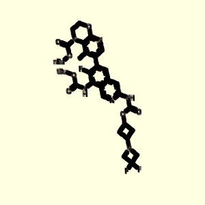 CCCCOC(=O)N1CCOc2ncc(-c3cc4cc(NC(=O)OC5CC(N6CC(F)(F)C6)C5)ncc4c(NC(=O)OC(C)(C)C)c3F)c(C)c21